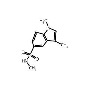 CNS(=O)(=O)c1ccc2c(c1)c(C)cn2C